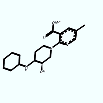 COC(=O)c1cc(C)cnc1N1CCC(NC2CCCCC2)[C@H](O)C1